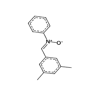 Cc1cc(C)cc(C=[N+]([O-])c2ccccc2)c1